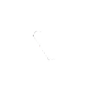 CCCC/C=C\CCCCCCCCOC(=O)CCCCCCC/C=C\C/C=C\CCCCC